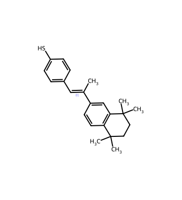 C/C(=C\c1ccc(S)cc1)c1ccc2c(c1)C(C)(C)CCC2(C)C